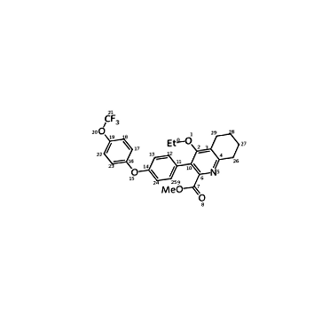 CCOc1c2c(nc(C(=O)OC)c1-c1ccc(Oc3ccc(OC(F)(F)F)cc3)cc1)CCCC2